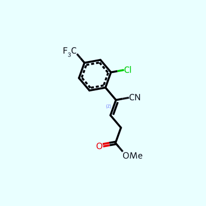 COC(=O)C/C=C(\C#N)c1ccc(C(F)(F)F)cc1Cl